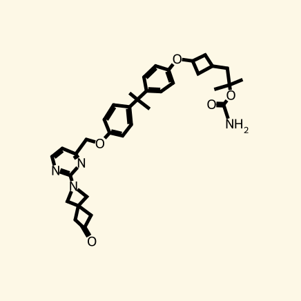 CC(C)(CC1CC(Oc2ccc(C(C)(C)c3ccc(OCc4ccnc(N5CC6(CC(=O)C6)C5)n4)cc3)cc2)C1)OC(N)=O